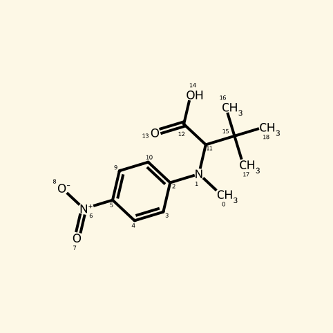 CN(c1ccc([N+](=O)[O-])cc1)C(C(=O)O)C(C)(C)C